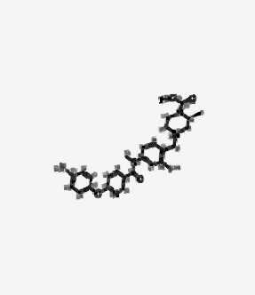 C[C@H]1CN(Cc2ccc(N(C)C(=O)c3ccc(Oc4ccc(F)cc4)nc3)cc2F)CCN1C(=O)O